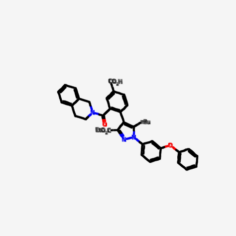 CCCCc1c(-c2ccc(C(=O)O)cc2C(=O)N2CCc3ccccc3C2)c(C(=O)OCC)nn1-c1cccc(Oc2ccccc2)c1